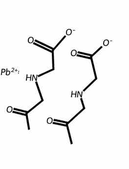 CC(=O)CNCC(=O)[O-].CC(=O)CNCC(=O)[O-].[Pb+2]